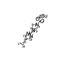 CC(C)(C)OC(=O)N1CC2CC1CN2c1ncc(C2CC2)cn1